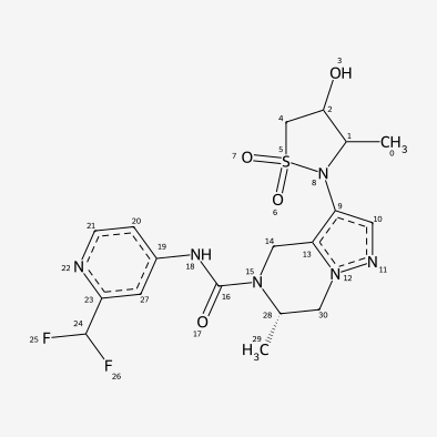 CC1C(O)CS(=O)(=O)N1c1cnn2c1CN(C(=O)Nc1ccnc(C(F)F)c1)[C@@H](C)C2